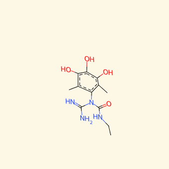 CCNC(=O)N(C(=N)N)c1c(C)c(O)c(O)c(O)c1C